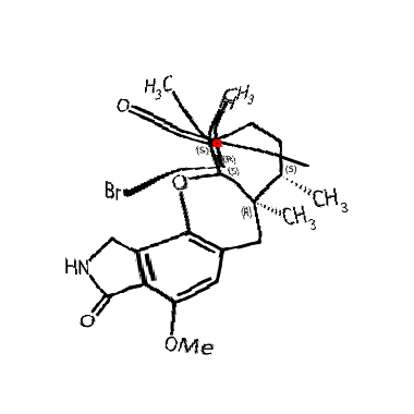 COc1cc2c(c3c1C(=O)NC3)O[C@@]13C[C@@H](Br)C(=O)C(C)(C)[C@@H]1CC[C@H](C)[C@@]3(C)C2